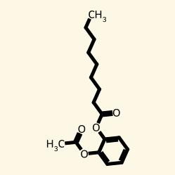 CCCCCCCCC(=O)Oc1ccccc1OC(C)=O